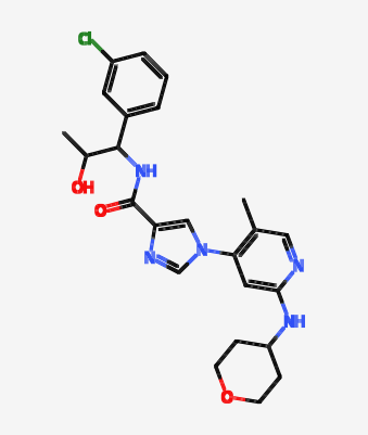 Cc1cnc(NC2CCOCC2)cc1-n1cnc(C(=O)NC(c2cccc(Cl)c2)C(C)O)c1